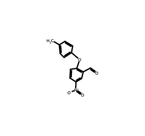 Cc1ccc(Oc2ccc([N+](=O)[O-])cc2C=O)cc1